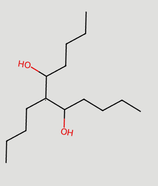 CCCC[C](C(O)CCCC)C(O)CCCC